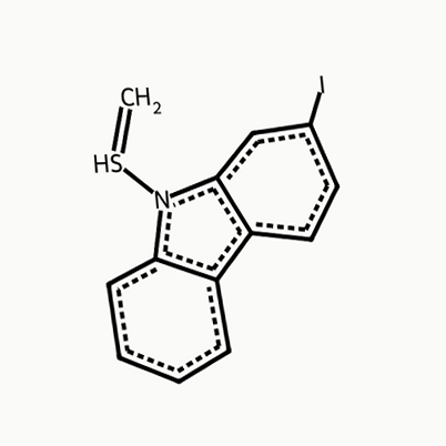 C=[SH]n1c2ccccc2c2ccc(I)cc21